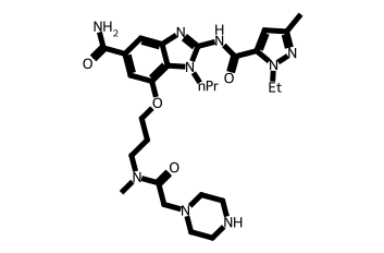 CCCn1c(NC(=O)c2cc(C)nn2CC)nc2cc(C(N)=O)cc(OCCCN(C)C(=O)CN3CCNCC3)c21